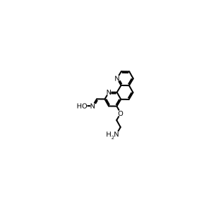 NCCOc1cc(/C=N/O)nc2c1ccc1cccnc12